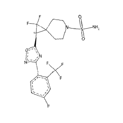 NS(=O)(=O)N1CCC2(CC1)[C@@H](c1nc(-c3ccc(F)cc3C(F)(F)F)no1)C2(F)F